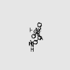 Cc1n[nH]c2ccc(-c3cncc(N(C[C@@H](N)Cc4ccccc4)C(=O)c4ccccc4)c3)cc12